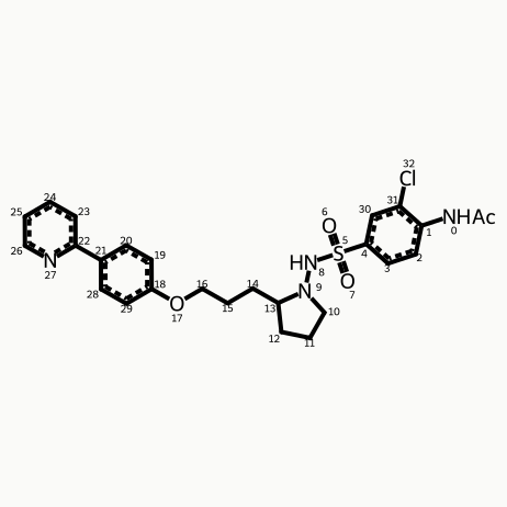 CC(=O)Nc1ccc(S(=O)(=O)NN2CCCC2CCCOc2ccc(-c3ccccn3)cc2)cc1Cl